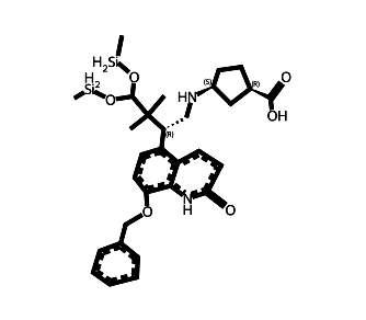 C[SiH2]OC(O[SiH2]C)C(C)(C)[C@H](CN[C@H]1CC[C@@H](C(=O)O)C1)c1ccc(OCc2ccccc2)c2[nH]c(=O)ccc12